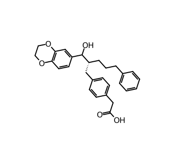 O=C(O)Cc1ccc(C[C@@H](CCCc2ccccc2)C(O)c2ccc3c(c2)OCCO3)cc1